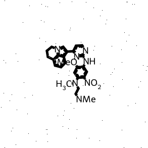 CNCCN(C)c1cc(OC)c(Nc2nccc(-c3cn4c5c(cccc35)CCC4)n2)cc1[N+](=O)[O-]